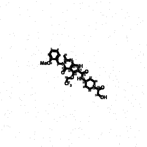 COc1ccccc1Cn1c(C)nc2[nH]c(C(=O)NC3CCN(C(=O)CO)CC3)c(OCC(F)(F)F)c2c1=O